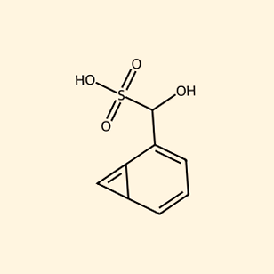 O=S(=O)(O)C(O)C1=CC=CC2C=C12